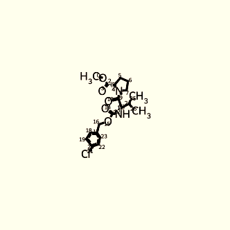 COC(=O)[C@@H]1CCCN1C(=O)[C@@H](NC(=O)OCc1ccc(Cl)cc1)C(C)C